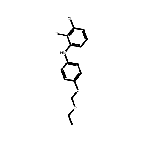 CCOCOc1ccc(Nc2cccc(Cl)c2Cl)cc1